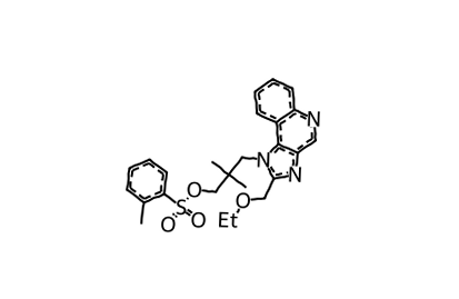 CCOCc1nc2cnc3ccccc3c2n1CC(C)(C)COS(=O)(=O)c1ccccc1C